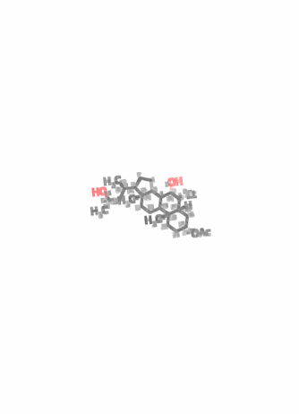 CC[C@H]1[C@@H](O)C2C3CC[C@H]([C@H](C)C[C@H](C)O)[C@@]3(C)CCC2[C@@]2(C)CC[C@@H](OC(C)=O)C[C@@H]12